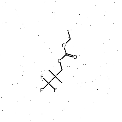 CCOC(=O)OCC(C)(C)C(F)(F)F